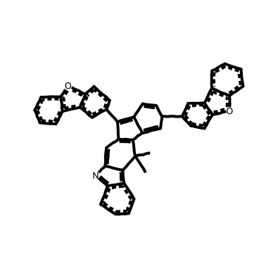 CC1(C)C2=C(C=C3N=c4ccccc4=C31)C(c1ccc3oc4ccccc4c3c1)=C1C=CC(c3ccc4oc5ccccc5c4c3)C=C12